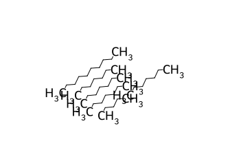 CCCCC.CCCCCCC.CCCCCCC.CCCCCCC.CCCCCCC.CCCCCCCCCC